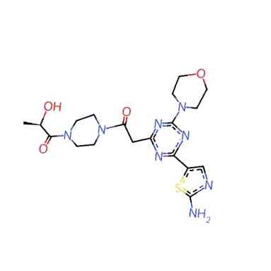 C[C@@H](O)C(=O)N1CCN(C(=O)Cc2nc(-c3cnc(N)s3)nc(N3CCOCC3)n2)CC1